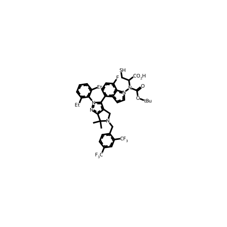 CCc1cccc(CC)c1-n1nc2c(c1-c1ccc(F)c3c1ccn3N(C(=O)OC(C)(C)C)C(CS)C(=O)O)CN(Cc1ccc(C(F)(F)F)cc1C(F)(F)F)C2(C)C